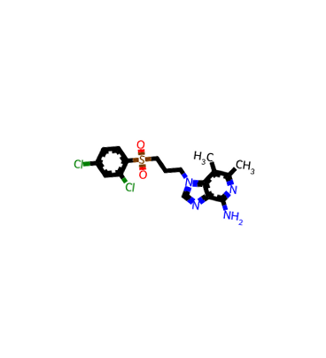 Cc1nc(N)c2ncn(CCCS(=O)(=O)c3ccc(Cl)cc3Cl)c2c1C